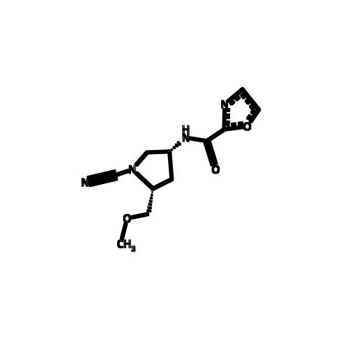 COC[C@H]1C[C@@H](NC(=O)c2ncco2)CN1C#N